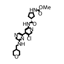 COC(=O)N[C@H]1CC[C@@H](C(=O)Nc2cc(-c3cncc(NCC4CCOCC4)n3)c(Cl)cn2)C1